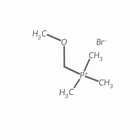 COC[P+](C)(C)C.[Br-]